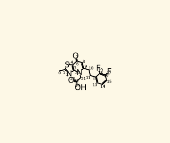 Cc1nc2c(s1)c(=O)cc(CCc1cccc(F)c1F)n2CC(=O)O